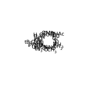 C=C1C(=O)N[C@@H](C)C(=O)N(C)[C@@H](C)C(=O)N[C@@H]([C@H](OC(=O)[C@@H](NC(=O)CC)[C@H](OC(C)(C)C)C(C)C)C(C)C)C(=O)N(C)[C@@H]([C@@H](C)OC)C(=O)OC(C(C)C)[C@H](NC(C)=O)C(=O)O[C@H](Cc2ccccc2)C(=O)N1C